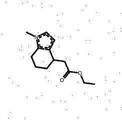 CCOC(=O)CC1CCCc2c1ccn2C